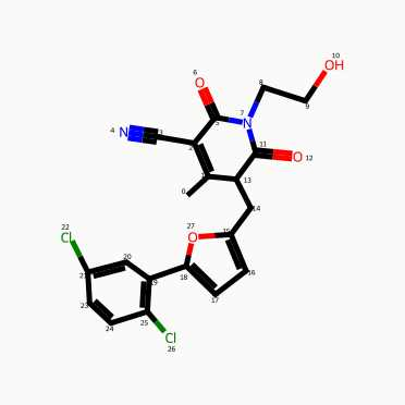 CC1=C(C#N)C(=O)N(CCO)C(=O)C1Cc1ccc(-c2cc(Cl)ccc2Cl)o1